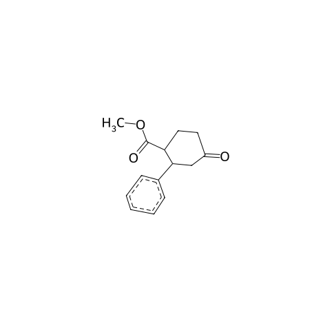 COC(=O)C1CCC(=O)CC1c1ccccc1